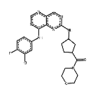 O=C(C1CCC(Nc2ncc3ncnc(Nc4ccc(F)c(Cl)c4)c3n2)C1)N1CCOCC1